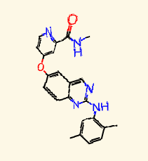 CNC(=O)c1cc(Oc2ccc3nc(Nc4cc(C)ccc4C)ncc3c2)ccn1